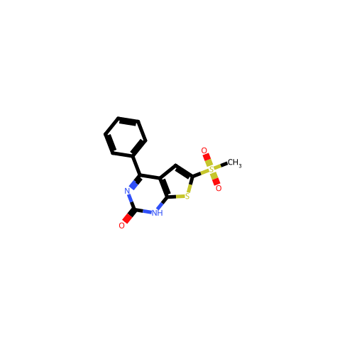 CS(=O)(=O)c1cc2c(-c3ccccc3)nc(=O)[nH]c2s1